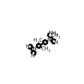 Cc1cc(-n2c(/C=C\N)c(C)c3cnccc32)ccc1-c1ccc(-n2c3ccncc3c3cnccc32)cc1C